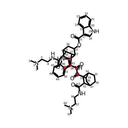 CN(C)CCNC(=O)C1C2CCC(C(OC(=O)c3c[nH]c4ccccc34)C2)C1C(=O)NC(=O)C1C2CCC(CC2OC(=O)c2c[nH]c3ccccc23)C1C(=O)NCCN(C)C